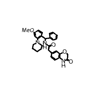 COc1ccc(C(NC(=O)Cc2ccc3c(c2)OCC(=O)N3)c2ccccc2)c(N2CCCCC2)c1